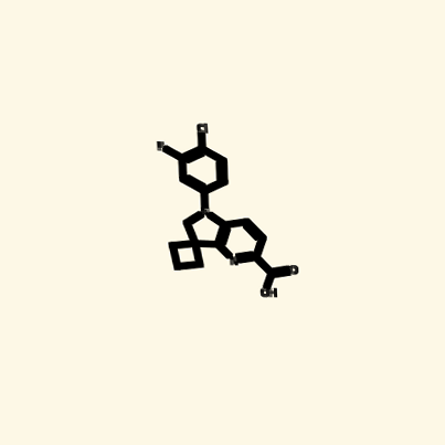 O=C(O)c1ccc2c(n1)C1(CCC1)CN2c1ccc(Cl)c(F)c1